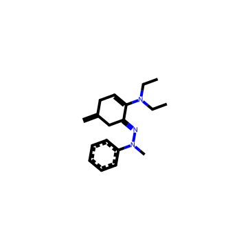 C=C1CC=C(N(CC)CC)C(=NN(C)c2ccccc2)C1